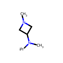 CC(C)N(C)C1CN(C)C1